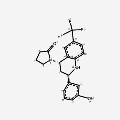 O=C1CCCN1[C@H]1C[C@H](c2cccc(O)c2)Nc2ccc(C(F)(F)F)cc21